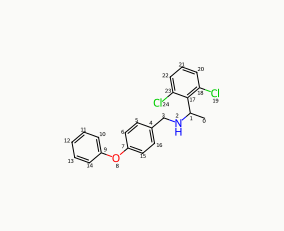 CC(NCc1ccc(Oc2ccccc2)cc1)c1c(Cl)cccc1Cl